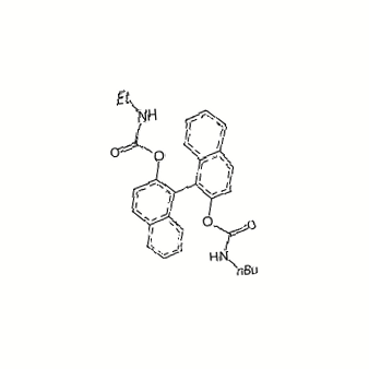 [CH2]CNC(=O)Oc1ccc2ccccc2c1-c1c(OC(=O)NCCCC)ccc2ccccc12